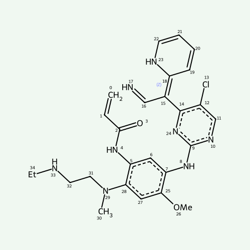 C=CC(=O)Nc1cc(Nc2ncc(Cl)c(/C(C=N)=C3\C=CC=CN3)n2)c(OC)cc1N(C)CCNCC